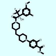 CNC(=O)c1ccc(N2CCC(CC3CCN(C(=O)[C@](O)(c4cc(F)cc(OC)c4)C(F)(F)F)CC3)CC2)cc1Cl